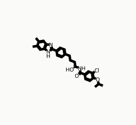 Cc1cc2nc(-c3ccc(CCC[C@H](O)NC(=O)c4ccc(OC(C)C)c(Cl)c4)cc3)[nH]c2cc1C